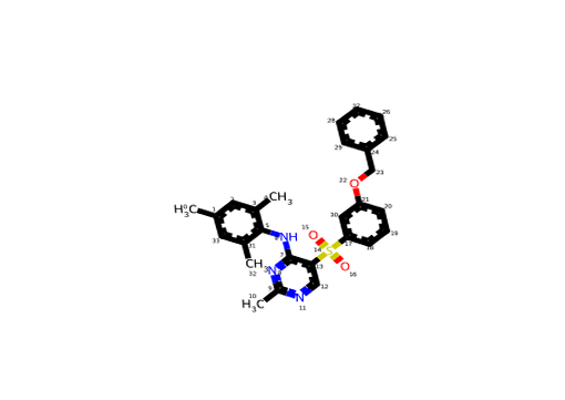 Cc1cc(C)c(Nc2nc(C)ncc2S(=O)(=O)c2cccc(OCc3ccccc3)c2)c(C)c1